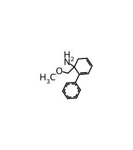 COCC1(N)CC=CC=C1c1ccccc1